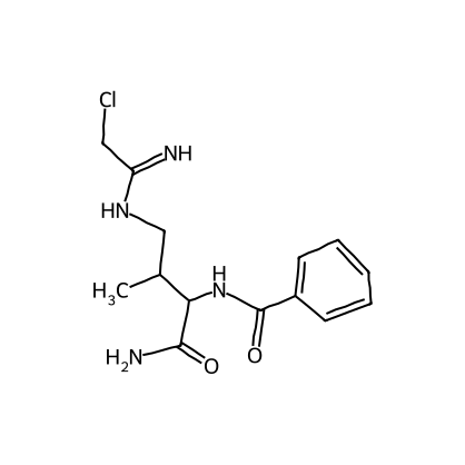 CC(CNC(=N)CCl)C(NC(=O)c1ccccc1)C(N)=O